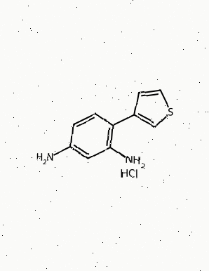 Cl.Nc1ccc(-c2ccsc2)c(N)c1